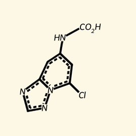 O=C(O)Nc1cc(Cl)n2ncnc2c1